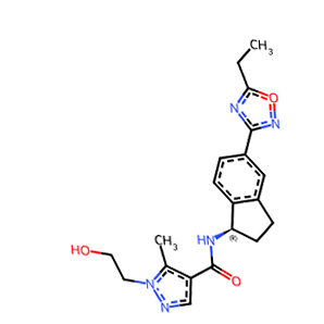 CCc1nc(-c2ccc3c(c2)CC[C@H]3NC(=O)c2cnn(CCO)c2C)no1